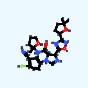 CC1(C)CCC(c2noc(C3N=CN4c5ccc(F)c(C#N)c5N(C5(C)CCCO5)C(=O)C34)n2)O1